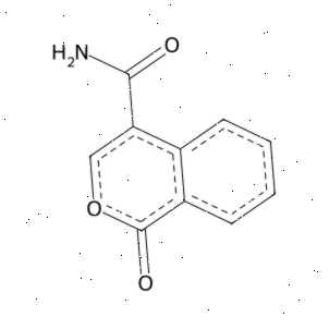 NC(=O)c1coc(=O)c2ccccc12